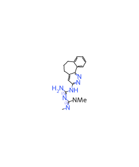 C/N=C(\N=C(\N)Nc1cc2c(nn1)-c1ccccc1CCC2)NC